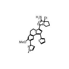 CCC1(C(N)=O)CCCN1C(=O)c1cc(-c2cccs2)c2n1CCc1cc(OC)c(-c3ccn(C)n3)cc1-2